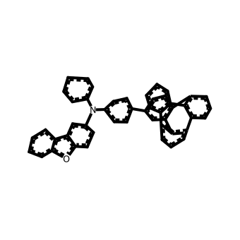 c1ccc(N(c2ccc(-c3ccc4c(c3)-c3c5cccc3-c3cccc-4c3-c3ccccc3-5)cc2)c2ccc3oc4ccccc4c3c2)cc1